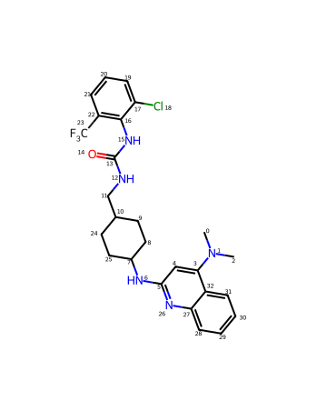 CN(C)c1cc(NC2CCC(CNC(=O)Nc3c(Cl)cccc3C(F)(F)F)CC2)nc2ccccc12